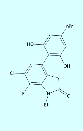 CCCc1cc(O)c(-c2cc(Cl)c(F)c3c2CC(=O)N3CC)c(O)c1